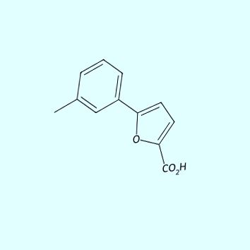 Cc1cccc(-c2ccc(C(=O)O)o2)c1